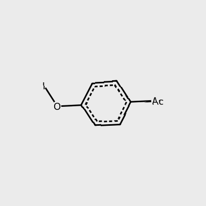 CC(=O)c1ccc(OI)cc1